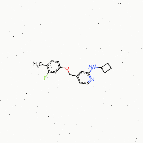 Cc1ccc(OCc2ccnc(NC3CCC3)c2)cc1F